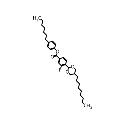 CCCCCCCCCC1COC(c2ccc(C(=O)Oc3ccc(CCCCCCC)cc3)cc2F)OC1